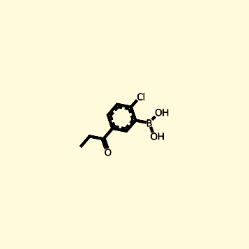 CCC(=O)c1ccc(Cl)c(B(O)O)c1